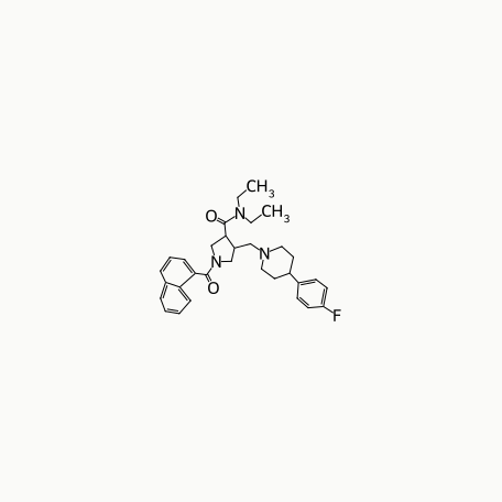 CCN(CC)C(=O)C1CN(C(=O)c2cccc3ccccc23)CC1CN1CCC(c2ccc(F)cc2)CC1